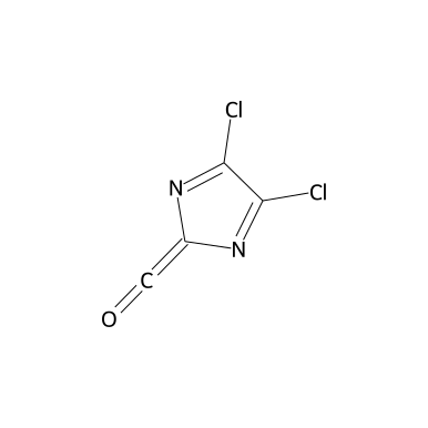 O=C=C1N=C(Cl)C(Cl)=N1